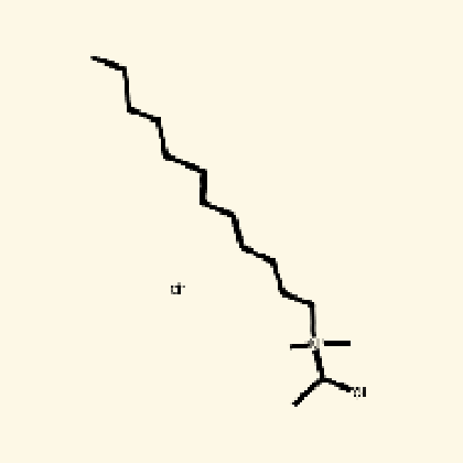 CCCCCCCCCCCC[N+](C)(C)C(C)O.[Cl-]